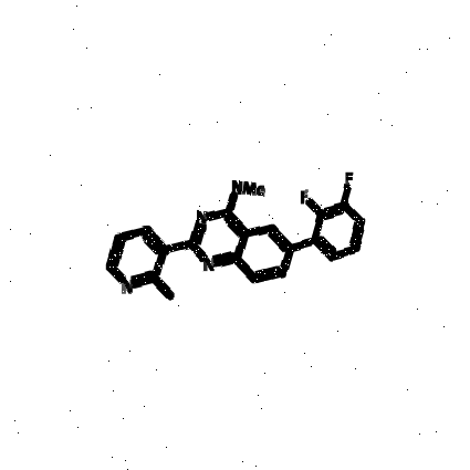 CNc1nc(-c2cccnc2C)nc2ccc(-c3cccc(F)c3F)cc12